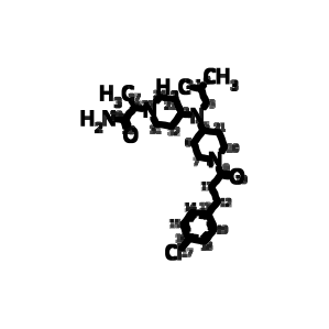 CC(C)CN(C1CCN(C(=O)[CH]Cc2ccc(Cl)cc2)CC1)C1CCN([C@H](C)C(N)=O)CC1